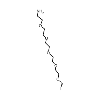 NCCOCCOCCOCCOCCOSI